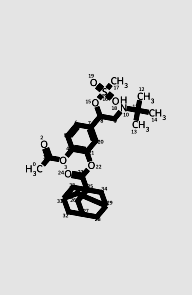 CC(=O)Oc1ccc(C(CNC(C)(C)C)OS(C)(=O)=O)cc1OC(=O)C12CC3CC(CC(C3)C1)C2